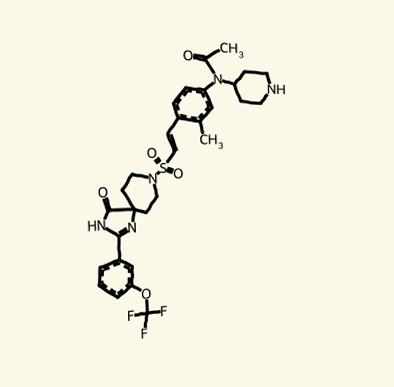 CC(=O)N(c1ccc(C=CS(=O)(=O)N2CCC3(CC2)N=C(c2cccc(OC(F)(F)F)c2)NC3=O)c(C)c1)C1CCNCC1